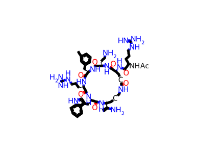 C=C(N)[C@@H]1CCCNC(=O)CC[C@H](NC(=O)[C@H](CCCNC(=N)N)NC(C)=O)C(=O)N[C@@H](CCN)C(=O)N[C@H](Cc2cccc(C)c2)C(=O)N[C@@H](CCCNC(=N)N)C(=O)N[C@@H](Cc2c[nH]c3ccccc23)C(=O)N1